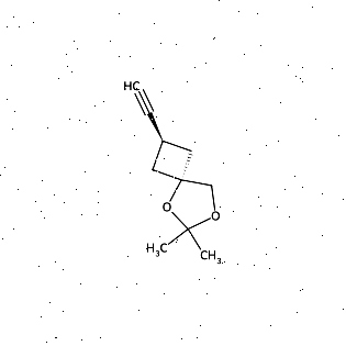 C#C[C@H]1C[C@@]2(COC(C)(C)O2)C1